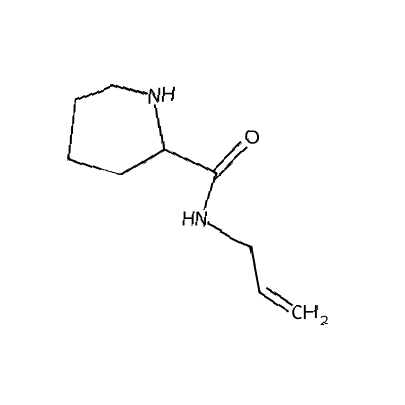 C=CCNC(=O)C1CCCCN1